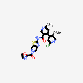 COc1cnc(Cl)cc1-c1cc(C)ncc1C(=O)Nc1nc2c(s1)CN(C(=O)c1ncco1)C2